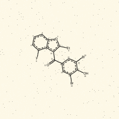 CCc1oc2cccc(F)c2c1C(=O)c1cc(Br)c(O)c(Br)c1